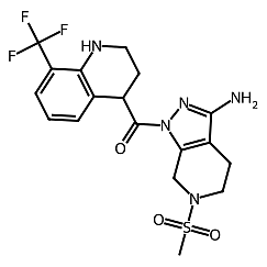 CS(=O)(=O)N1CCc2c(N)nn(C(=O)C3CCNc4c3cccc4C(F)(F)F)c2C1